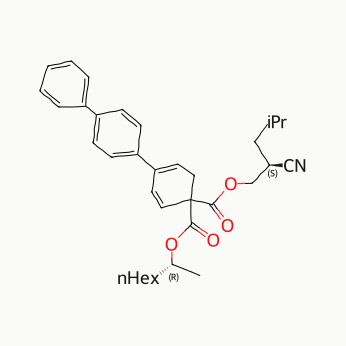 CCCCCC[C@@H](C)OC(=O)C1(C(=O)OC[C@H](C#N)CC(C)C)C=CC(c2ccc(-c3ccccc3)cc2)=CC1